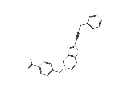 O=C(O)c1ccc(CN2C=Nc3sc(C#CCc4ccccc4)nc3C2)cc1